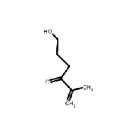 C=C(C)C(=O)CCCO